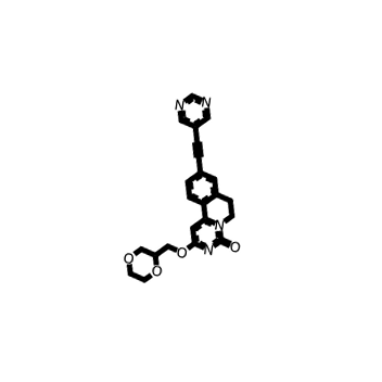 O=c1nc(OCC2COCCO2)cc2n1CCc1cc(C#Cc3cncnc3)ccc1-2